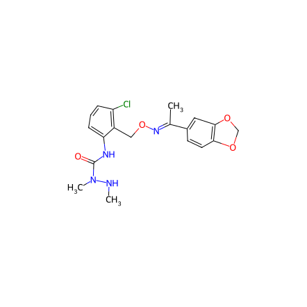 CNN(C)C(=O)Nc1cccc(Cl)c1CO/N=C(\C)c1ccc2c(c1)OCO2